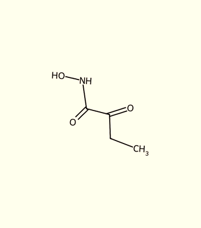 CCC(=O)C(=O)NO